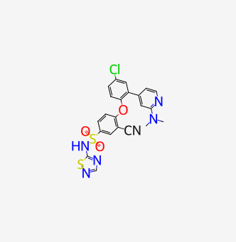 CN(C)c1cc(-c2cc(Cl)ccc2Oc2ccc(S(=O)(=O)Nc3ncns3)cc2C#N)ccn1